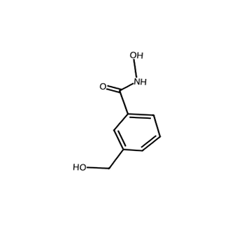 O=C(NO)c1cccc(CO)c1